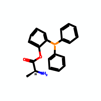 C[C@H](N)C(=O)Oc1ccccc1P(c1ccccc1)c1ccccc1